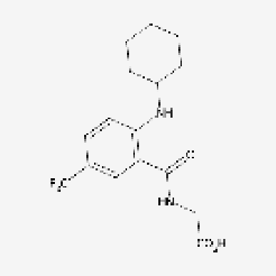 O=C(O)CNC(=O)c1cc(C(F)(F)F)ccc1NC1CCCCC1